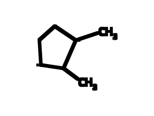 C[C]1CC[CH]C1C